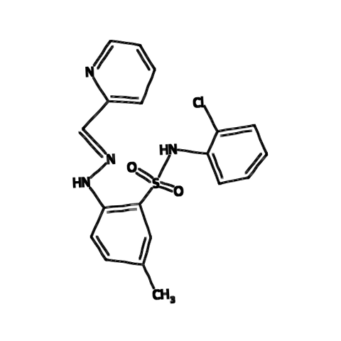 Cc1ccc(N/N=C/c2ccccn2)c(S(=O)(=O)Nc2ccccc2Cl)c1